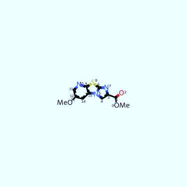 COC(=O)c1cn2c(n1)sc1ncc(OC)cc12